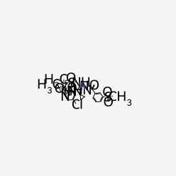 CO[C@H](c1ncc(Cl)cn1)[C@H](C)S(=O)(=O)N/C(=N/NC(=O)c1cccc(S(C)(=O)=O)c1)NC1CC1